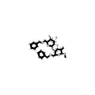 CO[C@H]1OC(COCc2ccccc2)[C@@H](S[C@H]2C[C@@H](C)[C@H](C)C(COCc3ccccc3)O2)[C@H](C)C1C